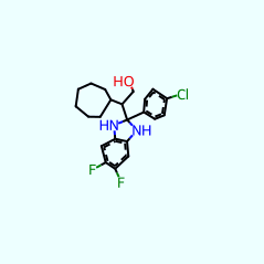 OCC(C1CCCCCC1)C1(c2ccc(Cl)cc2)Nc2cc(F)c(F)cc2N1